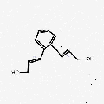 OC/C=C/c1ccccc1/C=C/CO